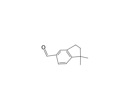 CC1(C)CCc2cc(C=O)ccc21